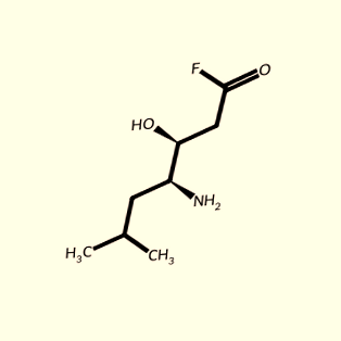 CC(C)C[C@H](N)[C@@H](O)CC(=O)F